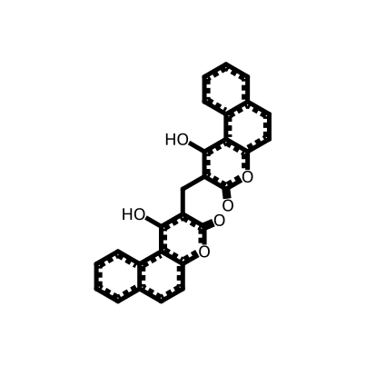 O=c1oc2ccc3ccccc3c2c(O)c1Cc1c(O)c2c(ccc3ccccc32)oc1=O